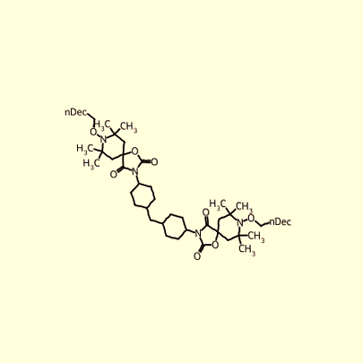 CCCCCCCCCCCON1C(C)(C)CC2(CC1(C)C)OC(=O)N(C1CCC(CC3CCC(N4C(=O)OC5(CC(C)(C)N(OCCCCCCCCCCC)C(C)(C)C5)C4=O)CC3)CC1)C2=O